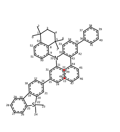 CC1(C)CCC(C)(C)c2c(N(c3cccc(-c4ccc5c(c4)[Si](C)(C)c4ccccc4-5)c3)c3ccc(-c4ccccc4)cc3-c3ccccc3)cccc21